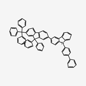 c1ccc(-c2ccc(-n3c4ccccc4c4cc(-c5ccc6c(c5)C(c5ccccc5)(c5ccccc5)c5cc(C(c7ccccc7)(c7ccccc7)c7ccccc7)ccc5-6)ccc43)cc2)cc1